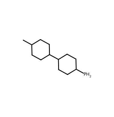 CC1CCC(C2CCC(P)CC2)CC1